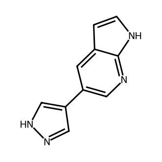 c1cc2cc(-c3cn[nH]c3)cnc2[nH]1